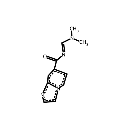 CN(C)/C=N/C(=O)c1ccn2ccnc2c1